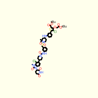 Cn1c(=O)n(C2CCC(=O)NC2=O)c2ccc(C3CCN(C(=O)Nc4cccc(CS(=O)(=O)N5CC[C@H](Nc6cccc(-c7sc(C(=O)OC(C)(C)C)c(OCC(=O)OC(C)(C)C)c7Cl)c6)CC5(C)C)c4)CC3)c(Cl)c21